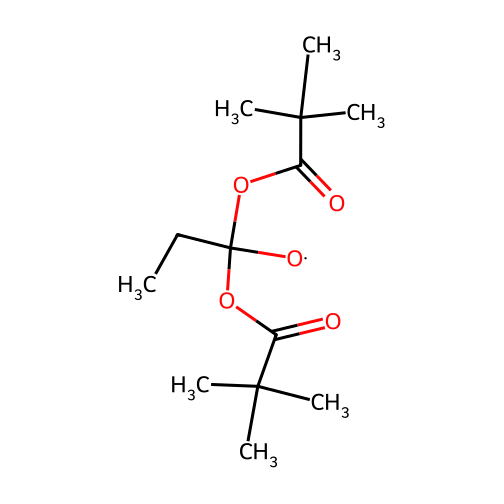 CCC([O])(OC(=O)C(C)(C)C)OC(=O)C(C)(C)C